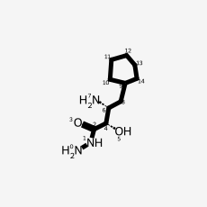 NNC(=O)[C@@H](O)[C@H](N)CC1CCCCC1